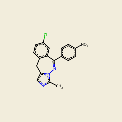 Cc1ncc2n1N=C(c1ccc([N+](=O)[O-])cc1)c1cc(Cl)ccc1C2